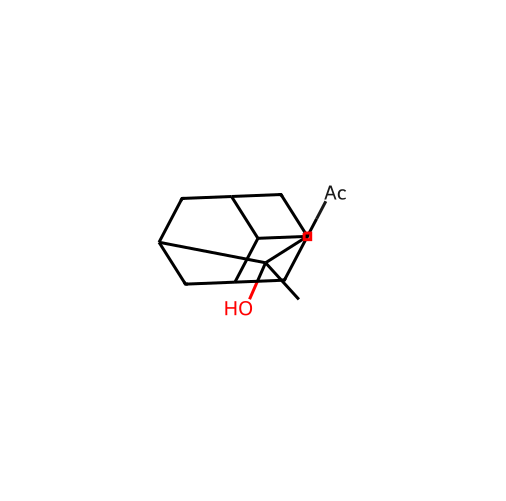 CC(=O)CC1C2CC3CC1CC(C2)C3(C)O